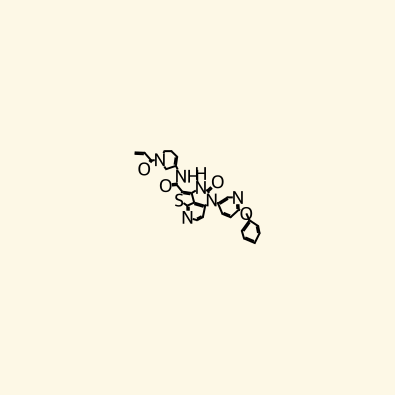 C=CC(=O)N1CCC=C(NC(=O)c2sc3nccc4c3c2NC(=O)N4c2ccc(Oc3ccccc3)nc2)C1